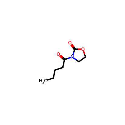 CCCCC(=O)N1CCOC1=O